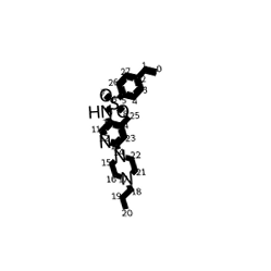 C=Cc1ccc(S(=O)(=O)Nc2cnc(N3CCN(CCC)CC3)cc2C)cc1